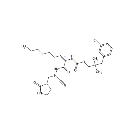 CCCCCC/C=C(/NC(=O)OCC(C)(C)Cc1cccc(Cl)c1)C(=O)NN(C#N)CC1CCNC1=O